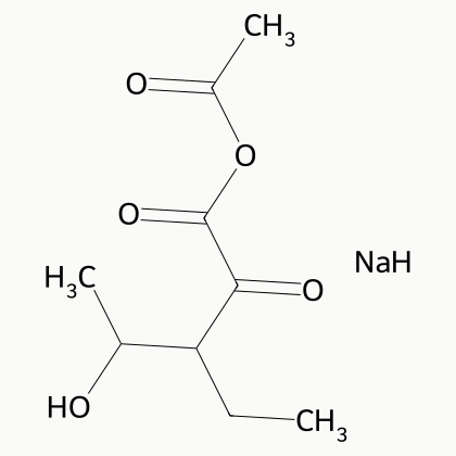 CCC(C(=O)C(=O)OC(C)=O)C(C)O.[NaH]